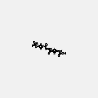 O=C(O)NC12CC(C(=O)NCC(=O)[C@H]3C[C@@H](OC(F)(F)F)C3)(C1)C2